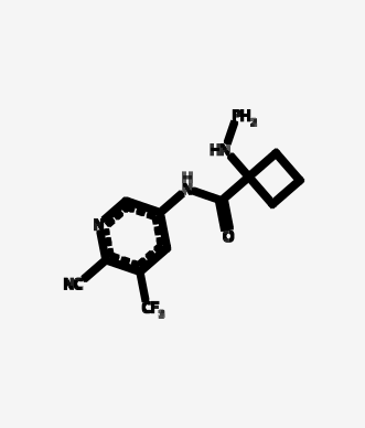 N#Cc1ncc(NC(=O)C2(NP)CCC2)cc1C(F)(F)F